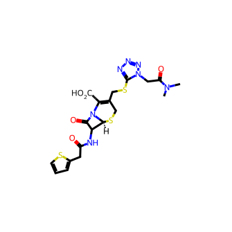 CN(C)C(=O)Cn1nnnc1SCC1=C(C(=O)O)N2C(=O)C(NC(=O)Cc3cccs3)[C@@H]2SC1